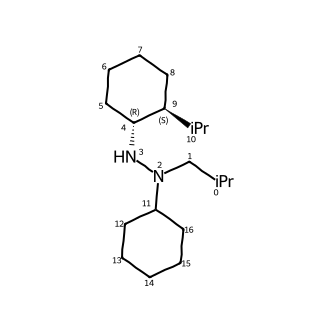 CC(C)CN(N[C@@H]1CCCC[C@H]1C(C)C)C1CCCCC1